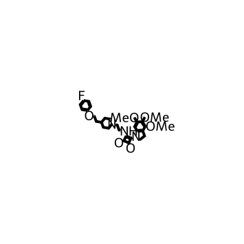 COc1cc2c(c(OC)c1OC)CCN2c1c(NCCN2CCC(CCOc3ccc(F)cc3)CC2)c(=O)c1=O